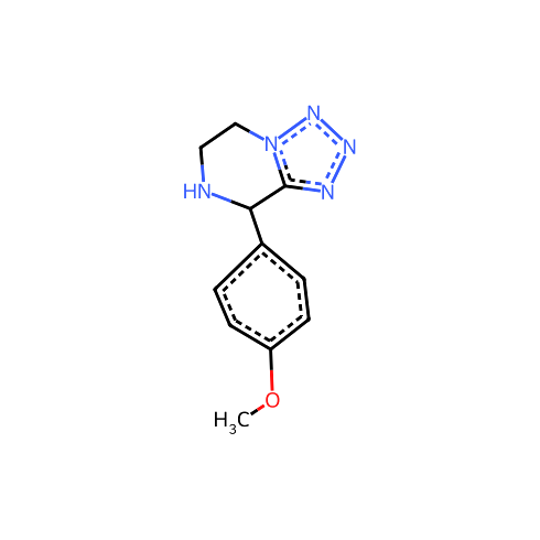 COc1ccc(C2NCCn3nnnc32)cc1